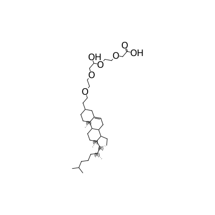 CC(C)CCC[C@@H](C)[C@H]1CCC2C3CC=C4CC(CCOCCOCC(O)OCCOCC(=O)O)CC[C@]4(C)C3CC[C@@]21C